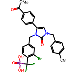 COC(=O)c1ccc(-c2cn(Cc3ccc(C#N)cc3)c(=O)n2Cc2ccc(C(F)(F)P(=O)(O)O)c(Br)c2)cc1